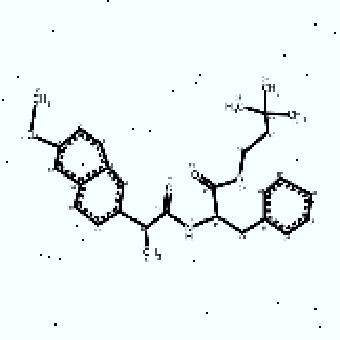 COc1ccc2cc([C@H](C)C(=O)NC(Cc3ccccc3)C(=O)OCCC(C)(C)C)ccc2c1